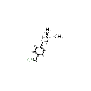 C[SiH](C)CCc1ccc(CCl)cc1